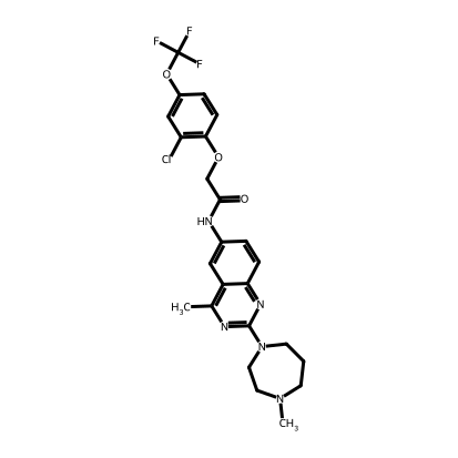 Cc1nc(N2CCCN(C)CC2)nc2ccc(NC(=O)COc3ccc(OC(F)(F)F)cc3Cl)cc12